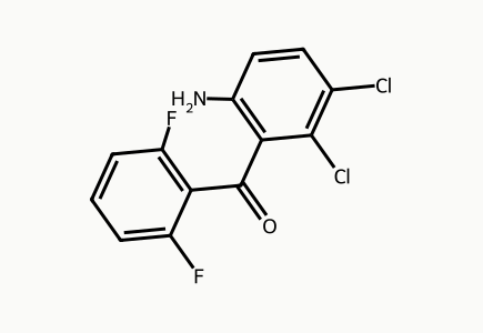 Nc1ccc(Cl)c(Cl)c1C(=O)c1c(F)cccc1F